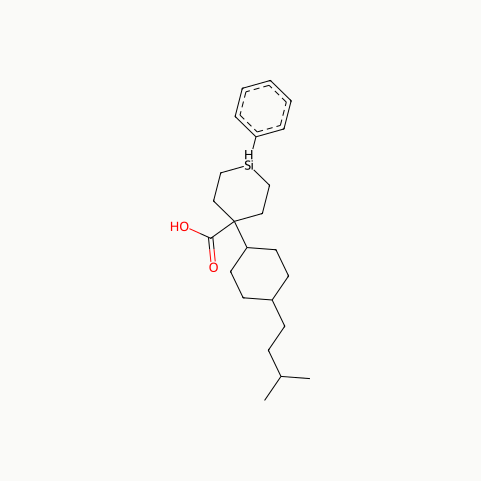 CC(C)CCC1CCC(C2(C(=O)O)CC[SiH](c3ccccc3)CC2)CC1